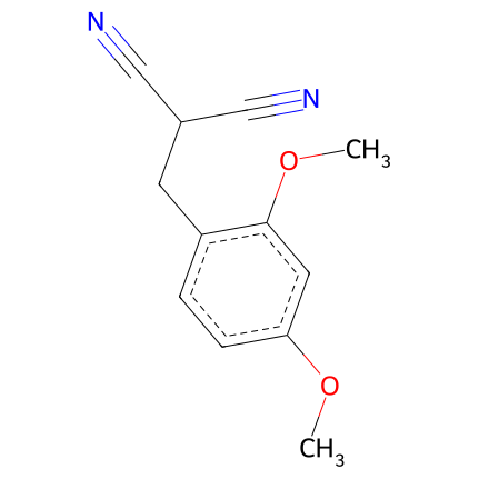 COc1ccc(CC(C#N)C#N)c(OC)c1